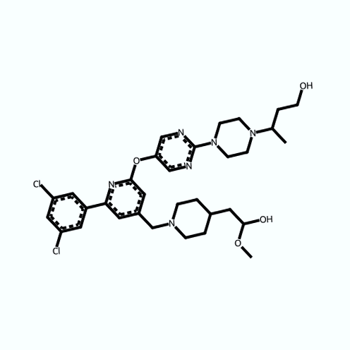 COC(O)CC1CCN(Cc2cc(Oc3cnc(N4CCN(C(C)CCO)CC4)nc3)nc(-c3cc(Cl)cc(Cl)c3)c2)CC1